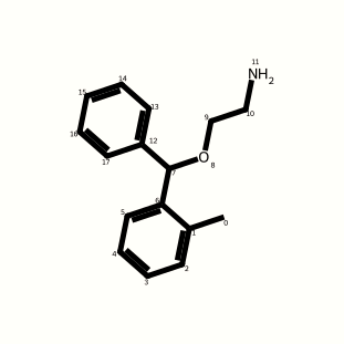 Cc1ccccc1C(OCCN)c1ccccc1